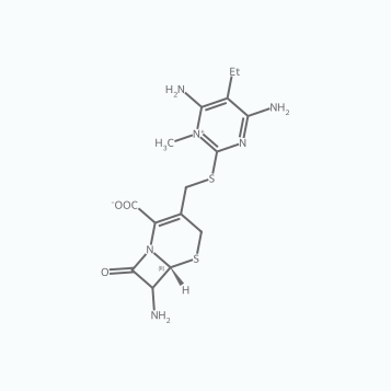 CCc1c(N)nc(SCC2=C(C(=O)[O-])N3C(=O)C(N)[C@H]3SC2)[n+](C)c1N